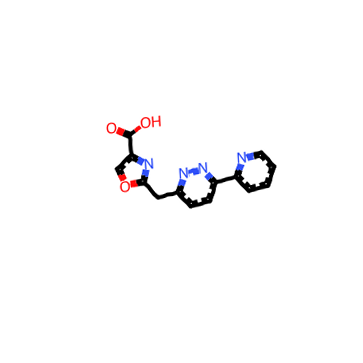 O=C(O)c1coc(Cc2ccc(-c3ccccn3)nn2)n1